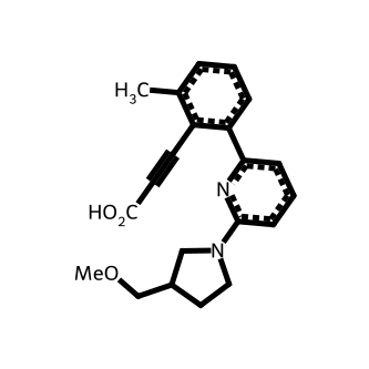 COCC1CCN(c2cccc(-c3cccc(C)c3C#CC(=O)O)n2)C1